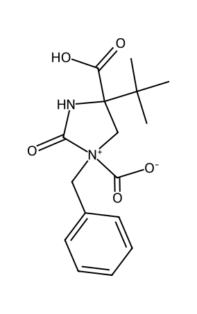 CC(C)(C)C1(C(=O)O)C[N+](Cc2ccccc2)(C(=O)[O-])C(=O)N1